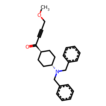 COCC#CC(=O)[C@H]1CC[C@H](N(Cc2ccccc2)Cc2ccccc2)CC1